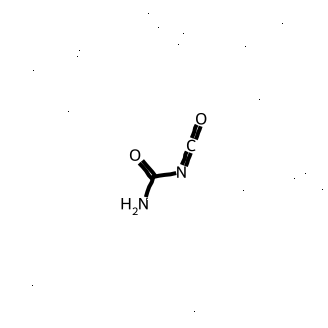 NC(=O)N=C=O